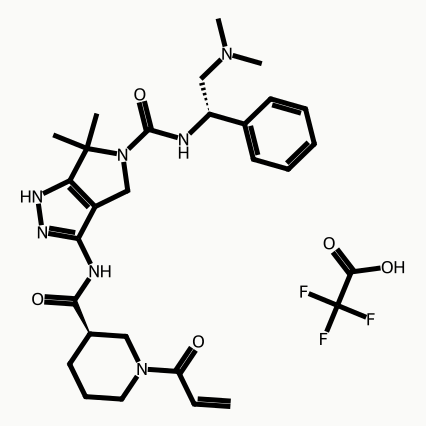 C=CC(=O)N1CCC[C@@H](C(=O)Nc2n[nH]c3c2CN(C(=O)N[C@H](CN(C)C)c2ccccc2)C3(C)C)C1.O=C(O)C(F)(F)F